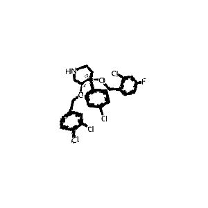 Fc1ccc(CO[C@]2(c3ccc(Cl)cc3)CCNC[C@@H]2OCc2ccc(Cl)c(Cl)c2)c(Cl)c1